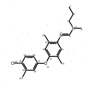 CCCN(C)C=Nc1cc(C)c(Oc2ccc(Cl)c(I)c2)cc1C